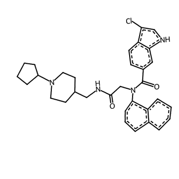 O=C(CN(C(=O)c1ccc2c(Cl)c[nH]c2c1)c1cccc2ccccc12)NCC1CCN(C2CCCC2)CC1